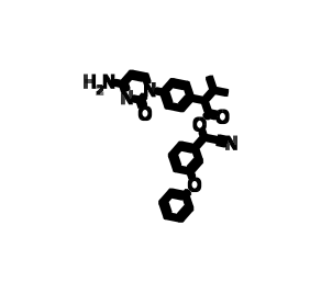 CC(C)C(C(=O)OC(C#N)c1cccc(Oc2ccccc2)c1)c1ccc(-n2ccc(N)nc2=O)cc1